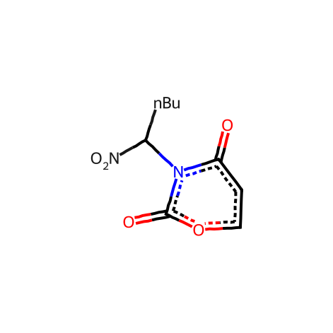 CCCCC(n1c(=O)ccoc1=O)[N+](=O)[O-]